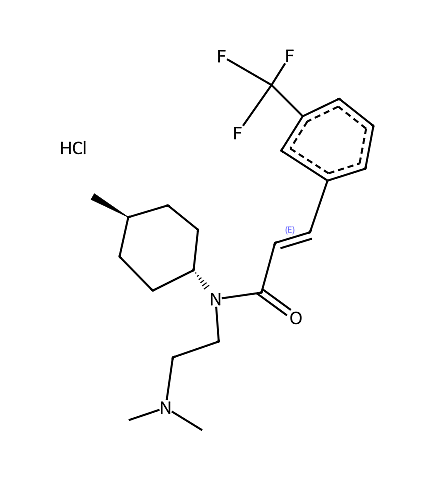 CN(C)CCN(C(=O)/C=C/c1cccc(C(F)(F)F)c1)[C@H]1CC[C@H](C)CC1.Cl